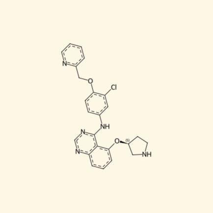 Clc1cc(Nc2ncnc3cccc(O[C@H]4CCNC4)c23)ccc1OCc1ccccn1